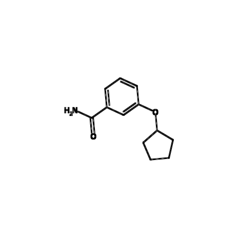 NC(=O)c1cccc(OC2CCCC2)c1